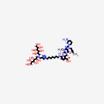 CC#CCn1c(N2CCC[C@@H](N)C2)nc2c1c(=O)n(Cc1nc(NCCCCCCCn3cc(CN(CC(O)C(O)C(O)C(O)CO)CC(O)C(O)C(O)C(O)CO)nn3)ccc1C(=O)O)c(=O)n2C